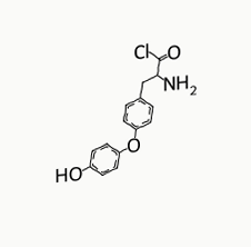 NC(Cc1ccc(Oc2ccc(O)cc2)cc1)C(=O)Cl